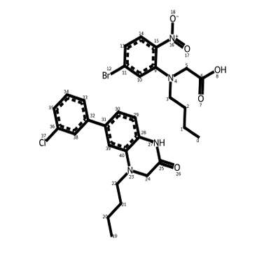 CCCCN(CC(=O)O)c1cc(Br)ccc1[N+](=O)[O-].CCCCN1CC(=O)Nc2ccc(-c3cccc(Cl)c3)cc21